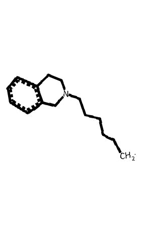 [CH2]CCCCCN1CCc2ccccc2C1